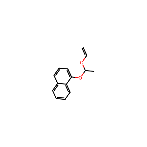 C=COC(C)Oc1cccc2ccccc12